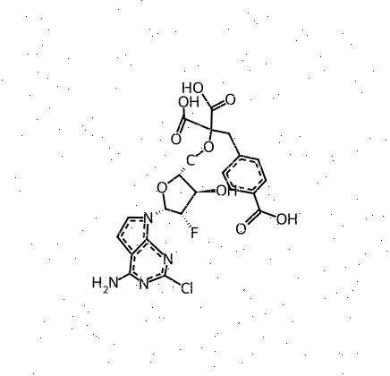 Nc1nc(Cl)nc2c1ccn2[C@@H]1O[C@H](COC(Cc2ccc(C(=O)O)cc2)(C(=O)O)C(=O)O)[C@@H](O)[C@@H]1F